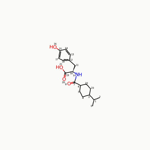 CC(C)C1CCC(C(=O)N[C@H](Cc2ccc(O)cc2)C(=O)O)CC1